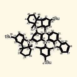 Cc1cc(C(C)(C)C)cc(C)c1N1c2cc(N3c4ccc(C(C)(C)C)cc4C4(C)CCCCC34C)cc3c2B(c2cc(C(C)(C)C)cc4c2N3C2(C)CCCCC42C)c2ccc3c(sc4ccccc43)c21